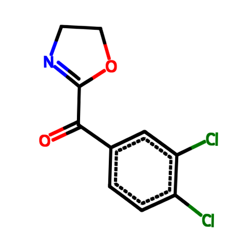 O=C(C1=NCCO1)c1ccc(Cl)c(Cl)c1